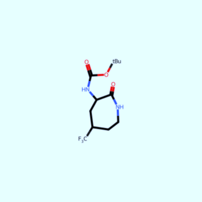 CC(C)(C)OC(=O)NC1CC(C(F)(F)F)CCNC1=O